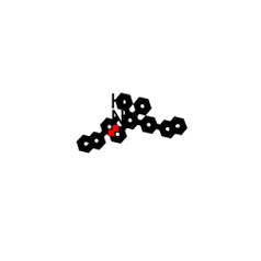 c1ccc(-c2cc(-c3ccc(-c4ccc5ccccc5c4)cc3)c(-c3ccccc3)c(-c3ccccc3)c2Nc2ccc(-c3ccc4ccccc4c3)cc2)cc1